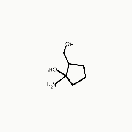 NC1(O)CCCC1CO